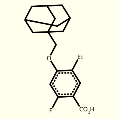 CCc1cc(C(=O)O)c(F)cc1OCC12CC3CC(CC(C3)C1)C2